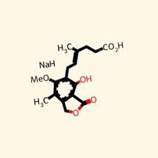 COc1c(C)c2c(c(O)c1C/C=C(\C)CCC(=O)O)C(=O)OC2.[NaH]